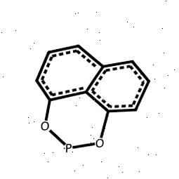 c1cc2c3c(cccc3c1)O[P]O2